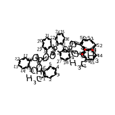 Cc1ccccc1OP(Oc1ccccc1C)Oc1ccccc1P(=O)(c1ccccc1)c1ccccc1OP(Oc1ccccc1C)Oc1ccccc1C